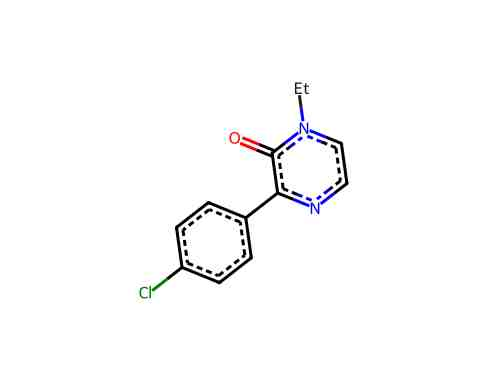 CCn1ccnc(-c2ccc(Cl)cc2)c1=O